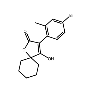 Cc1cc(Br)ccc1C1=C(O)C2(CCCCC2)OC1=O